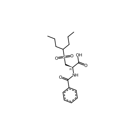 CCCC(CCC)S(=O)(=O)C[C@H](NC(=O)c1ccccc1)C(=O)O